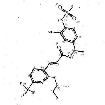 CC[C@@H](C)Cc1nc(C(F)(F)F)ccc1C=CC(=O)N[C@H](C)c1ccc(NS(C)(=O)=O)c(F)c1